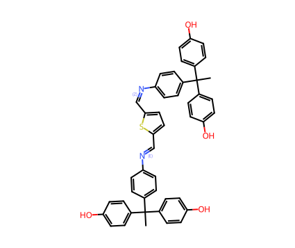 CC(c1ccc(O)cc1)(c1ccc(O)cc1)c1ccc(/N=C\c2ccc(/C=N/c3ccc(C(C)(c4ccc(O)cc4)c4ccc(O)cc4)cc3)s2)cc1